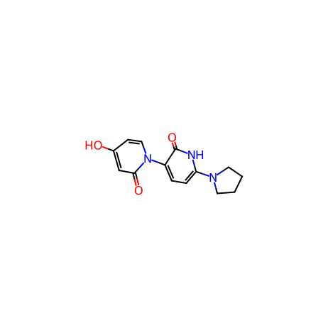 O=c1[nH]c(N2CCCC2)ccc1-n1ccc(O)cc1=O